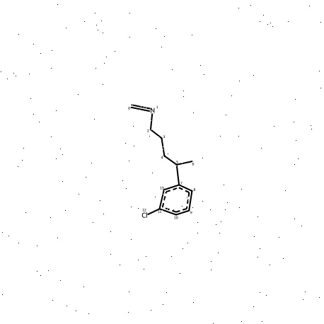 C=NCCCC(C)c1cccc(Cl)c1